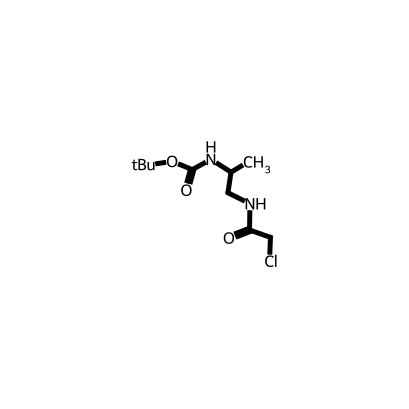 CC(CNC(=O)CCl)NC(=O)OC(C)(C)C